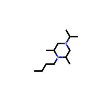 CCCCN1C(C)CN(C(C)C)CC1C